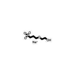 O=S(=O)([O-])CCCOCCO.[Na+]